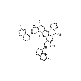 Cc1ccc2cccc(NCc3c4[nH]c5c(CNc6cccc7ccc(C)nc67)c(O)ccc5c(-c5ccccc5C(=O)O)c-4cc(Cl)c3=O)c2n1